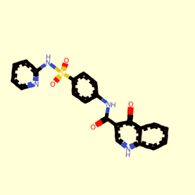 O=C(Nc1ccc(S(=O)(=O)Nc2ccccn2)cc1)c1c[nH]c2ccccc2c1=O